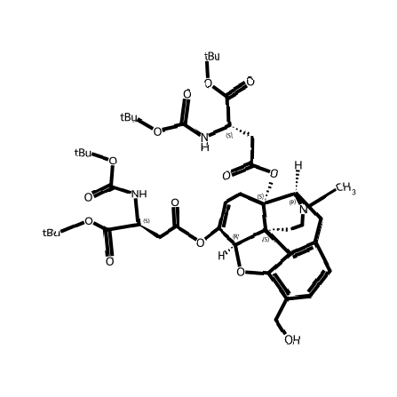 CN1CC[C@]23c4c5ccc(CO)c4O[C@H]2C(OC(=O)C[C@H](NC(=O)OC(C)(C)C)C(=O)OC(C)(C)C)=CC[C@@]3(OC(=O)C[C@H](NC(=O)OC(C)(C)C)C(=O)OC(C)(C)C)[C@H]1C5